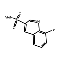 CNS(=O)(=O)c1cnc2c(Br)cccc2c1